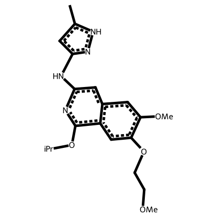 COCCOc1cc2c(OC(C)C)nc(Nc3cc(C)[nH]n3)cc2cc1OC